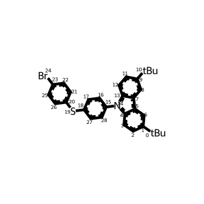 CC(C)(C)c1ccc2c(c1)c1cc(C(C)(C)C)ccc1n2-c1ccc(Sc2ccc(Br)cc2)cc1